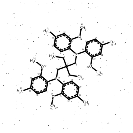 CCC(CC)(CP(c1ccc(C)cc1OC)c1ccc(C)cc1OC)CP(c1ccc(C)cc1OC)c1ccc(C)cc1OC